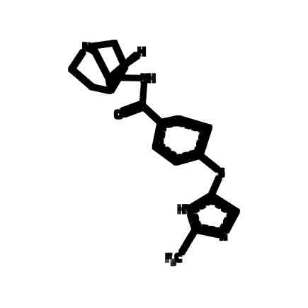 O=C(N[C@H]1CN2CCC1CC2)c1ccc(Sc2cnc(C(F)(F)F)[nH]2)cc1